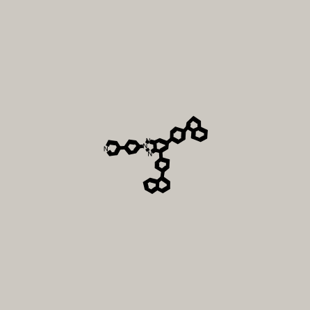 c1ccc2c(-c3ccc(-c4cc(-c5ccc(-c6cccc7ccccc67)cc5)c5nn(-c6ccc(-c7ccncc7)cc6)nc5c4)cc3)cccc2c1